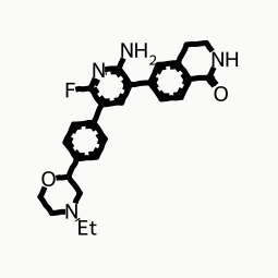 CCN1CCOC(c2ccc(-c3cc(-c4ccc5c(c4)CCNC5=O)c(N)nc3F)cc2)C1